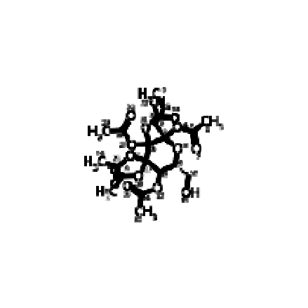 CCC[C@@]1(OC(C)=O)O[C@H](CO)[C@@H](OC(C)=O)C(OC(C)=O)(OC(C)=O)C1(OC(C)=O)OC(C)=O